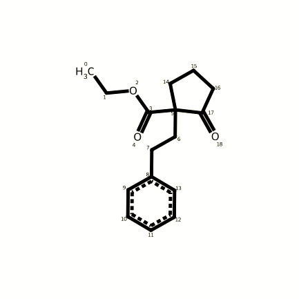 CCOC(=O)C1(CCc2ccccc2)CCCC1=O